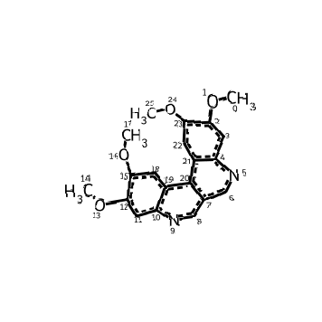 COc1cc2ncc3cnc4cc(OC)c(OC)cc4c3c2cc1OC